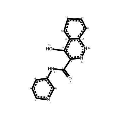 O=C(Nc1cccnc1)c1nnc2ccccc2c1O